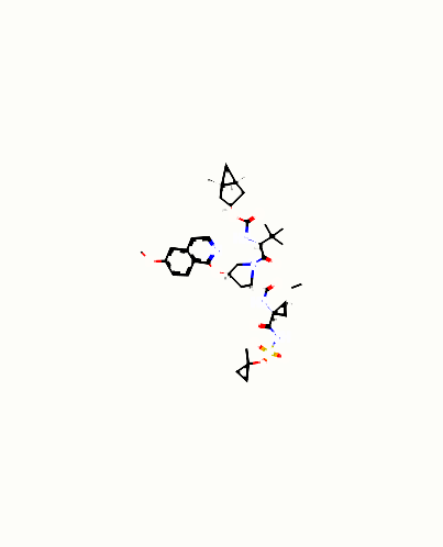 CC[C@@H]1C[C@]1(NC(=O)[C@@H]1C[C@@H](Oc2nccc3cc(OC)ccc23)CN1C(=O)[C@@H](NC(=O)O[C@@H]1C[C@@H]2C[C@@H]2C1)C(C)(C)C)C(=O)NS(=O)(=O)OC1(C)CC1